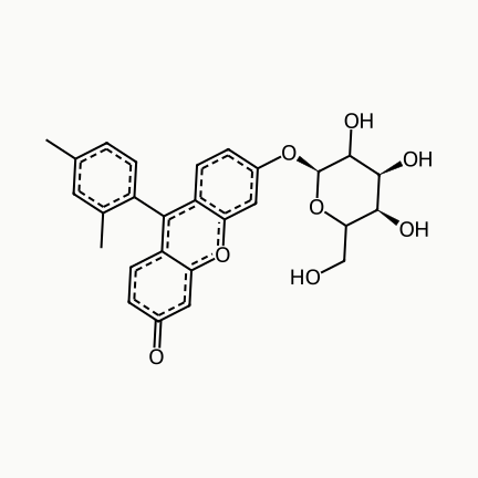 Cc1ccc(-c2c3ccc(=O)cc-3oc3cc(O[C@@H]4OC(CO)[C@H](O)[C@H](O)C4O)ccc23)c(C)c1